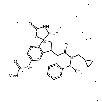 CNC(=O)Nc1ccc2c(c1)C(CC(=O)N(CC1CC1)C(C)c1ccccc1)C[C@@]21OC(=O)NC1=O